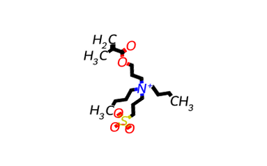 C=C(C)C(=O)OCCC[N+](CCCC)(CCCC)CCCS(=O)(=O)[O-]